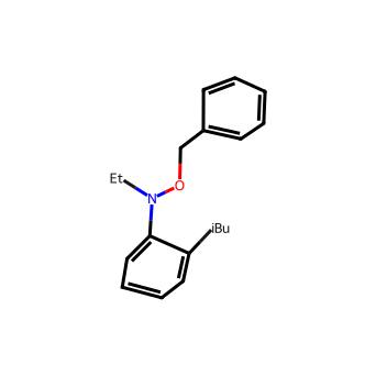 CCC(C)c1ccccc1N(CC)OCc1ccccc1